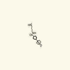 CNCCCCNC(=O)c1ccc(C23CCC(OC)(CC2)CC3)cc1